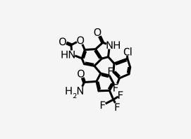 NC(=O)c1cc(C(F)(F)F)cc(F)c1-c1cc2[nH]c(=O)oc2c2c1C(c1cc(F)ccc1Cl)NC2=O